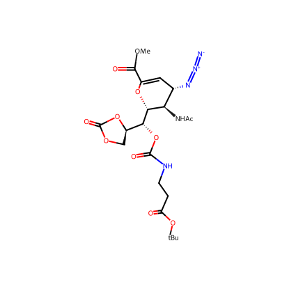 COC(=O)C1=C[C@H](N=[N+]=[N-])[C@@H](NC(C)=O)[C@H]([C@H](OC(=O)NCCC(=O)OC(C)(C)C)[C@H]2COC(=O)O2)O1